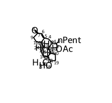 CCCCCC(OC(C)=O)[C@@H]1CC2=CC(=O)CC[C@@H]2[C@H]2CC[C@]3(C)[C@@H](O)CC[C@H]3[C@@H]21